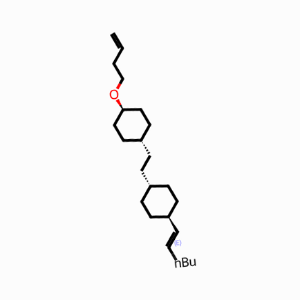 C=CCCO[C@H]1CC[C@H](CC[C@H]2CC[C@H](/C=C/CCCC)CC2)CC1